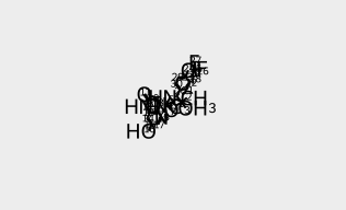 CC(C)(O)C(NC(=O)N1CC(=O)Nc2cc(O)cnc21)c1ccc(OC(F)(F)F)cc1